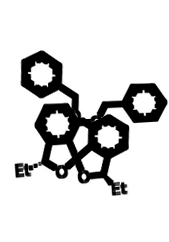 CC[C@H]1OC2(O[C@H](CC)c3cccc(OCc4ccccc4)c32)c2c(OCc3ccccc3)cccc21